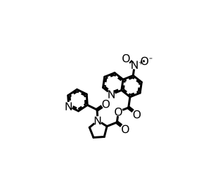 O=C(OC(=O)C1CCCN1C(=O)c1cccnc1)c1ccc([N+](=O)[O-])c2cccnc12